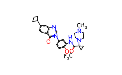 CN1CCN(C2(C(=O)Nc3cc(-n4cnc5cc(C6CCC6)ccc5c4=O)ccc3OC(F)(F)F)CC2)CC1